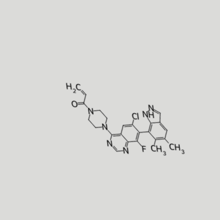 C=CC(=O)N1CCN(c2ncnc3c(F)c(-c4c(C)c(C)cc5cn[nH]c45)c(Cl)cc23)CC1